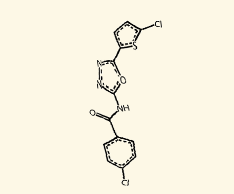 O=C(Nc1nnc(-c2ccc(Cl)s2)o1)c1ccc(Cl)cc1